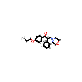 CC(C)CCOc1ccc(C(=O)C(CN2CCOCC2)c2ccccc2)cc1